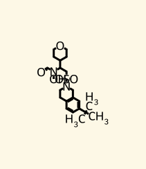 CC(C)(C)c1ccc2c(c1)CN(S(=O)(=O)CC(C1CCOCC1)N(O)C=O)CC2